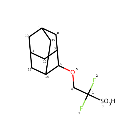 O=S(=O)(O)C(F)(F)COC1C2CC3CC(C2)CC1C3